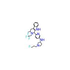 CC1Cc2c([nH]c3ccccc23)C(c2ccc(NC3CCN(CCCF)C3)cn2)N1CC(F)(F)F